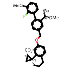 COc1cccc(-c2ccc(COc3ccc4c(c3)[C@@]3(CCC4)C[C@@H]3C(=O)O)cc2[C@H](OC)C(C)(C)C)c1F